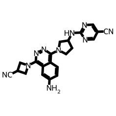 N#Cc1cnc(NC2CCN(c3nnc(N4CC(C#N)C4)c4cc(N)ccc34)C2)nc1